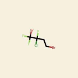 FC(F)(Br)C(F)(Cl)CCBr